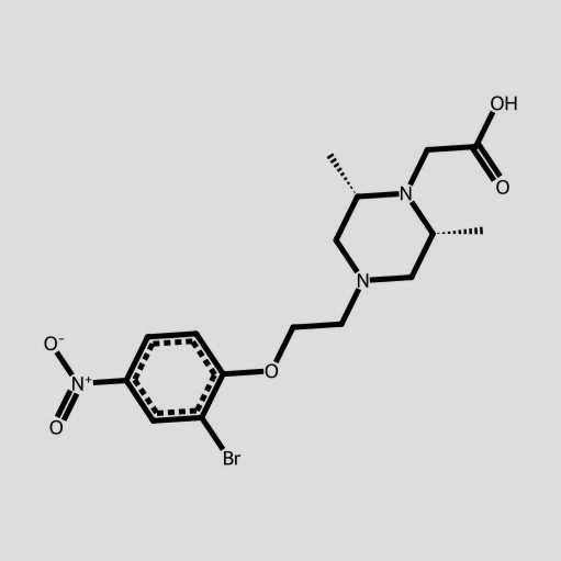 C[C@@H]1CN(CCOc2ccc([N+](=O)[O-])cc2Br)C[C@H](C)N1CC(=O)O